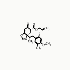 C=CCOC(=O)[C@@H]1C[C@]2([C@@H](C)Cc3cc(C)c(OC)cc3F)OCOC2=CC1=O